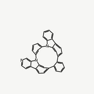 c1ccc2c3ccc4c5ccncc5n(c5cccc(c5)n5c6ccccc6c6ccc(cc65)c2c1)c4c3